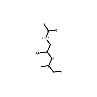 CCC(C)CC(N)CNC(C)C